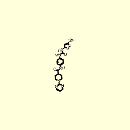 CC(C)(C)c1cc(NC(=O)Nc2ccc(NC(=O)C3CCN(c4ncccn4)CC3)cc2)no1